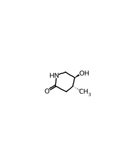 C[C@@H]1CC(=O)NC[C@H]1O